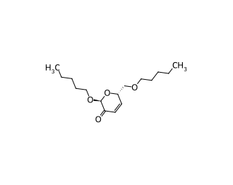 CCCCCOC[C@@H]1C=CC(=O)[C@@H](OCCCCC)O1